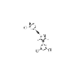 Cc1nc(C#Cc2ccnc(Cl)c2)c(C)n1-c1cc(Cl)cc(Cl)c1